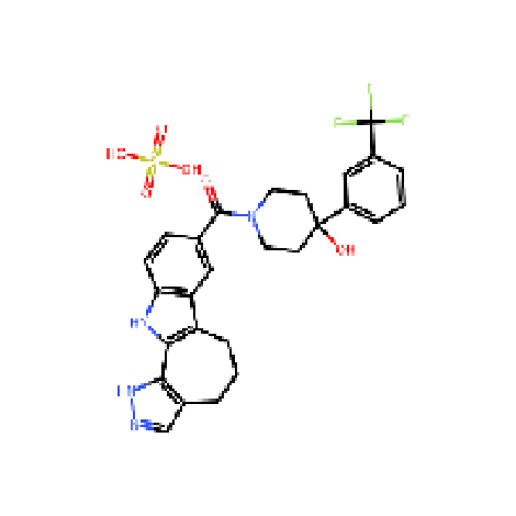 O=C(c1ccc2[nH]c3c(c2c1)CCCc1cn[nH]c1-3)N1CCC(O)(c2cccc(C(F)(F)F)c2)CC1.O=S(=O)(O)O